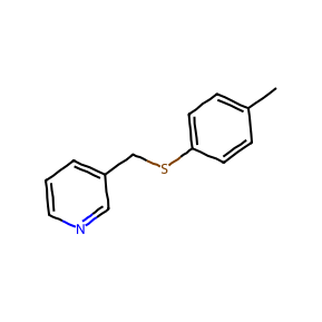 Cc1ccc(SCc2cccnc2)cc1